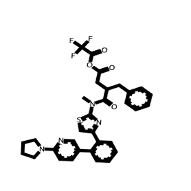 CN(C(=O)C(CC(=O)OC(=O)C(F)(F)F)Cc1ccccc1)c1nc(-c2ccccc2-c2ccc(N3CCCC3)nc2)cs1